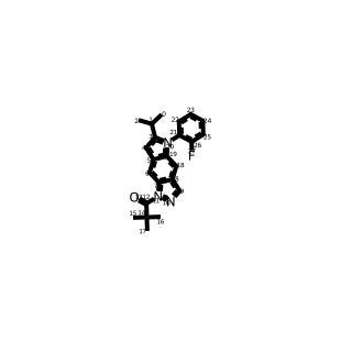 CC(C)c1cc2cc3c(cnn3C(=O)C(C)(C)C)cc2n1-c1ccccc1F